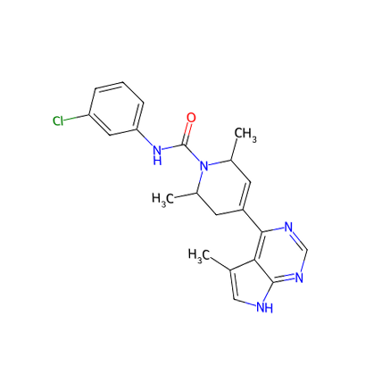 Cc1c[nH]c2ncnc(C3=CC(C)N(C(=O)Nc4cccc(Cl)c4)C(C)C3)c12